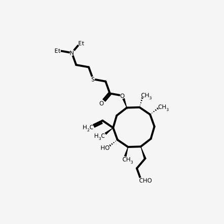 C=C[C@]1(C)C[C@@H](OC(=O)CSCCN(CC)CC)[C@H](C)[C@H](C)CC[C@@H](CCC=O)[C@@H](C)[C@@H]1O